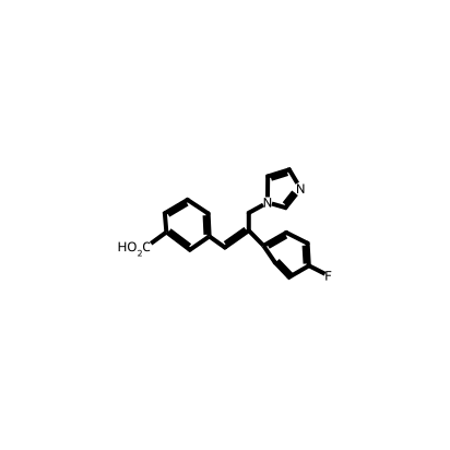 O=C(O)c1cccc(/C=C(\Cn2ccnc2)c2ccc(F)cc2)c1